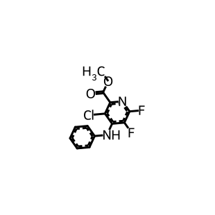 COC(=O)c1nc(F)c(F)c(Nc2ccccc2)c1Cl